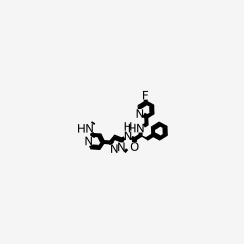 CNc1cc(-c2cc(NC(=O)[C@H](Cc3ccccc3)NCc3ccc(F)cn3)n(C)n2)ccn1